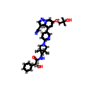 CC(C)(O)COc1cc(-c2ccc(N3C[C@@H]4C(NC(=O)[C@H](O)c5ccccc5)[C@@H]4C3)nc2)c2c(C#N)cnn2c1